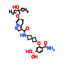 CC(C)(O)COc1ccc2c(C(=O)NC3CC4(C3)CC(Oc3cc(B(O)O)ccc3C(N)=O)C4)cnn2c1